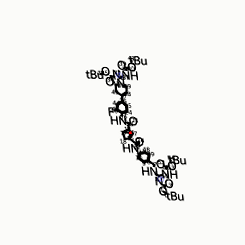 CC(C)(C)OC(=O)/N=C(/NCc1ccc(NC(=O)C23CC(C2)C(C(=O)Nc2ccc(C4=CCN(/C(=N\C(=O)OC(C)(C)C)NC(=O)OC(C)(C)C)CC4)cc2F)C3)cc1)NC(=O)OC(C)(C)C